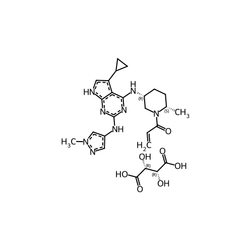 C=CC(=O)N1C[C@H](Nc2nc(Nc3cnn(C)c3)nc3[nH]cc(C4CC4)c23)CC[C@@H]1C.O=C(O)[C@H](O)[C@@H](O)C(=O)O